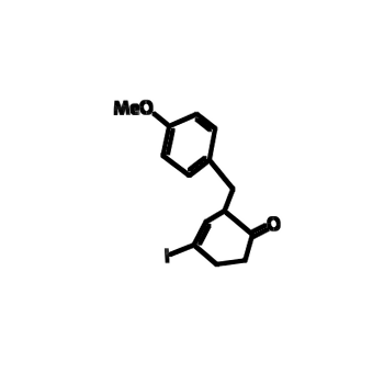 COc1ccc(CC2C=C(I)CCC2=O)cc1